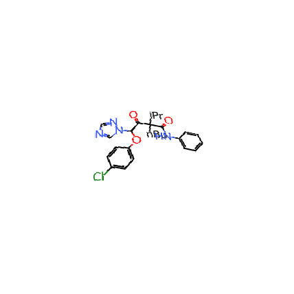 CCCCC(C(=O)Nc1ccccc1)(C(=O)C(Oc1ccc(Cl)cc1)n1cncn1)C(C)C